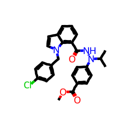 COC(=O)c1ccc(N(NC(=O)c2cccc3ccn(Cc4ccc(Cl)cc4)c23)C(C)C)cc1